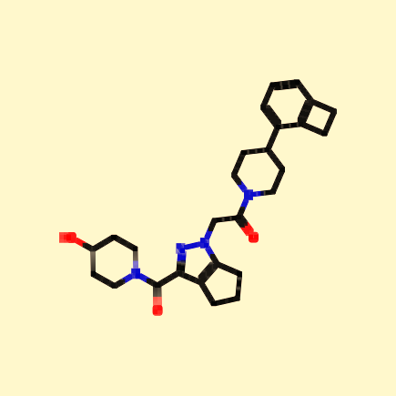 O=C(Cn1nc(C(=O)N2CCC(O)CC2)c2c1CCC2)N1CCC(c2cccc3c2CC3)CC1